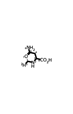 [2H]CNC(CC(N)=O)C(=O)O